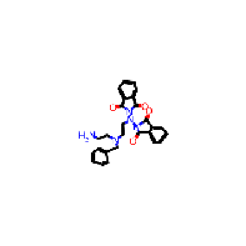 NCCN(CCN(N1C(=O)c2ccccc2C1=O)N1C(=O)c2ccccc2C1=O)Cc1ccccc1